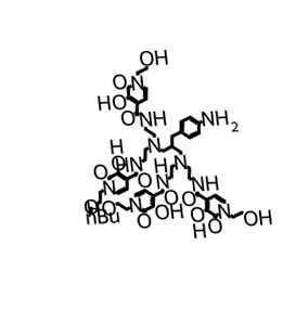 CCCCOCCn1ccc(C(=O)NCCN(CCNC(=O)c2ccn(CCO)c(=O)c2O)CC(Cc2ccc(N)cc2)CN(CCNC(=O)c2ccn(CCO)c(=O)c2O)CCNC(=O)c2ccn(CCO)c(=O)c2O)c(O)c1=O